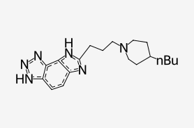 CCCCC1CCN(CCCc2nc3ccc4[nH]nnc4c3[nH]2)CC1